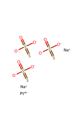 O=S([O-])([O-])=S.O=S([O-])([O-])=S.O=S([O-])([O-])=S.[Na+].[Na+].[Pt+4]